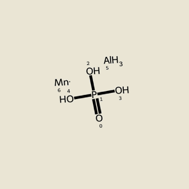 O=P(O)(O)O.[AlH3].[Mn]